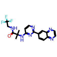 CC(C)(Nc1ccnc(-c2ccc3nccnc3c2)n1)C(=O)NCC(F)(F)F